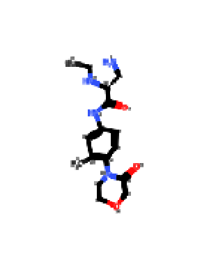 CC(C)(C)CN[C@H](CN)C(=O)Nc1ccc(N2CCOCC2=O)c(C(F)(F)F)c1